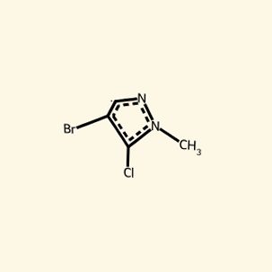 Cn1n[c]c(Br)c1Cl